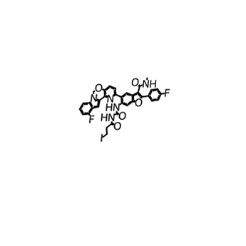 CNC(=O)c1c(-c2ccc(F)cc2)oc2cc(NC(=O)NC(=O)CCI)c(-c3ccc4c(n3)-c3cc5c(F)cccc5n3CO4)cc12